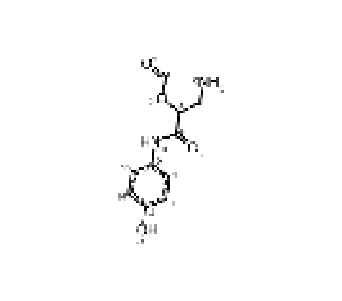 NCC(OC=O)C(=O)Nc1ccc(O)cc1